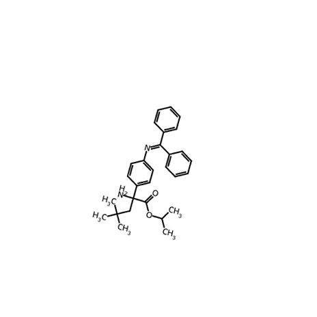 CC(C)OC(=O)C(N)(CC(C)(C)C)c1ccc(N=C(c2ccccc2)c2ccccc2)cc1